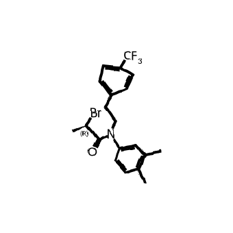 Cc1ccc(N(CCc2ccc(C(F)(F)F)cc2)C(=O)[C@@H](C)Br)cc1C